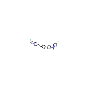 C=C(c1ccc(-c2ccc(CCC3CCN(CC(C)(C)F)CC3)cc2)cc1)N1CCC(CC)CC1